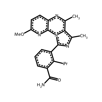 COc1ccc2nc(C)c3c(C)nc(-c4cccc(C(N)=O)c4C(C)C)n3c2n1